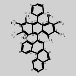 Bc1c(B)c(B)c2c(-c3cc4ccc5ccccc5c4c4ccccc34)c3c(B)c(B)c(B)c(B)c3c(-c3ccccc3)c2c1B